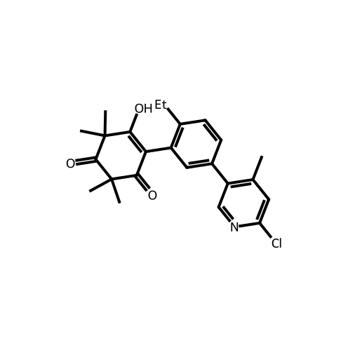 CCc1ccc(-c2cnc(Cl)cc2C)cc1C1=C(O)C(C)(C)C(=O)C(C)(C)C1=O